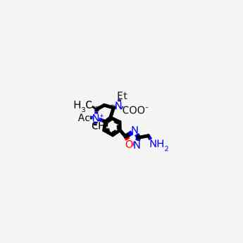 CCN(C(=O)[O-])[C@@H]1C[C@H](C)[N+](C)(C(C)=O)c2ccc(-c3nc(CN)no3)cc21